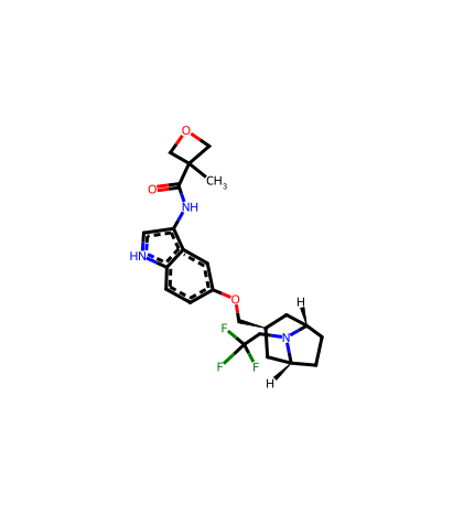 CC1(C(=O)Nc2c[nH]c3ccc(OC[C@@H]4C[C@H]5CC[C@@H](C4)N5CC(F)(F)F)cc23)COC1